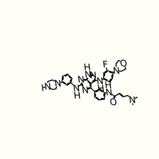 CN(C)C/C=C/C(=O)Nc1cccc(-c2nc(Nc3cccc(N4CCN(I)CC4)c3)nc3[nH]nc(Nc4ccc(N5CCOCC5)c(F)c4)c23)c1